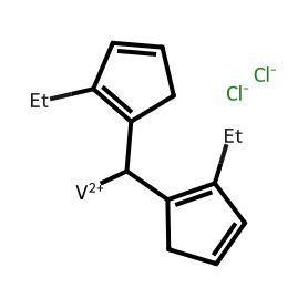 CCC1=C([CH]([V+2])C2=C(CC)C=CC2)CC=C1.[Cl-].[Cl-]